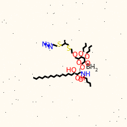 BOC1[C@H](OC[C@H](NC(=O)CCCC)[C@H](O)[C@H](O)CCCCCCCCCCCCCC)OC(COCCSCC(C)CSCCN=[N+]=[N-])[C@H](OCCCC)[C@@H]1OCCCC